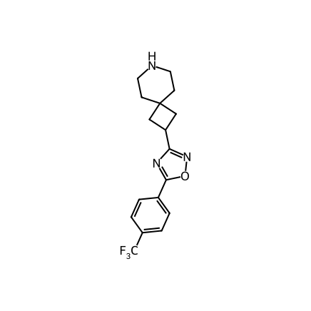 FC(F)(F)c1ccc(-c2nc(C3CC4(CCNCC4)C3)no2)cc1